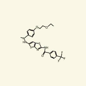 CCOCCOc1ccc(N(C)Nc2cc3sc(NC(=O)c4ccc(C(F)(F)F)cc4)nc3s2)cc1